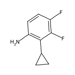 Nc1ccc(F)c(F)c1C1CC1